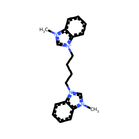 Cn1c[n+](CCCC[n+]2cn(C)c3ccccc32)c2ccccc21